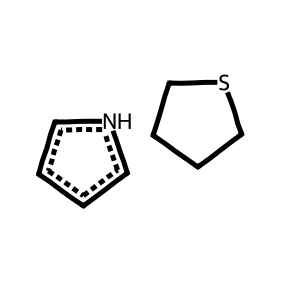 C1CCSC1.c1cc[nH]c1